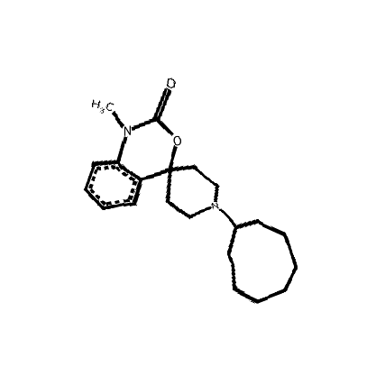 CN1C(=O)OC2(CCN(C3CCCCCCC3)CC2)c2ccccc21